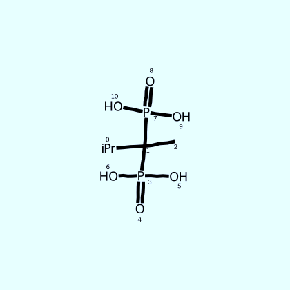 CC(C)C(C)(P(=O)(O)O)P(=O)(O)O